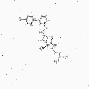 N[C@](CCCCB(O)O)(C(=O)O)C1CC(NCc2cccc(-c3ccc(Cl)cc3)c2)C1